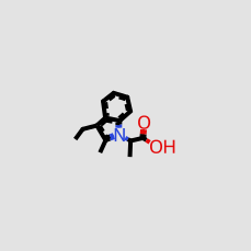 CCc1c(C)n(C(C)C(=O)O)c2ccccc12